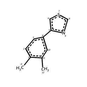 Cc1ccc(-c2cscn2)cc1C